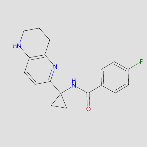 O=C(NC1(c2ccc3c(n2)CCCN3)CC1)c1ccc(F)cc1